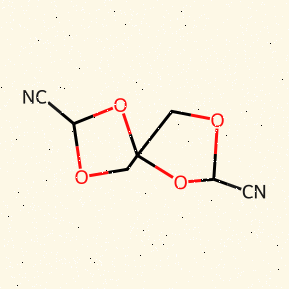 N#CC1OCC2(COC(C#N)O2)O1